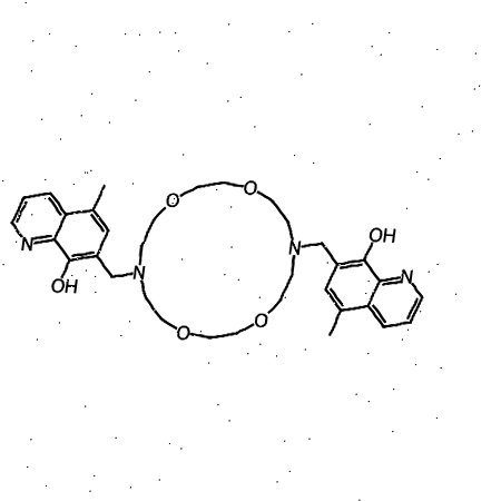 Cc1cc(CN2CCOCCOCCN(Cc3cc(C)c4cccnc4c3O)CCOCCOCC2)c(O)c2ncccc12